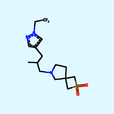 CC(Cc1cnn(CC(F)(F)F)c1)CN1CCC2(C1)CS(=O)(=O)C2